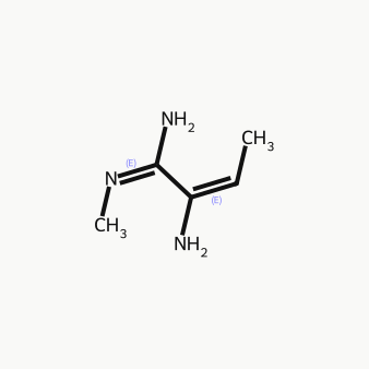 C/C=C(N)\C(N)=N/C